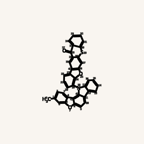 Cc1ccc2c(c1)oc1ccc3c4ccccc4n(-c4cccc5c4oc4cc6sc7ccccc7c(=O)c6cc45)c3c12